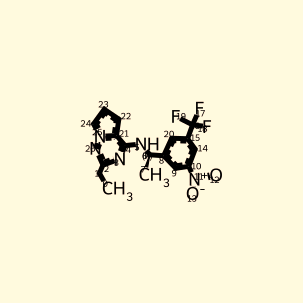 CCc1nc(N[C@H](C)c2cc([N+](=O)[O-])cc(C(F)(F)F)c2)c2cccn2n1